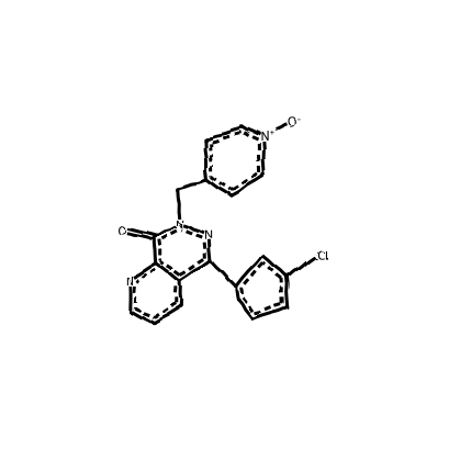 O=c1c2ncccc2c(-c2cccc(Cl)c2)nn1Cc1cc[n+]([O-])cc1